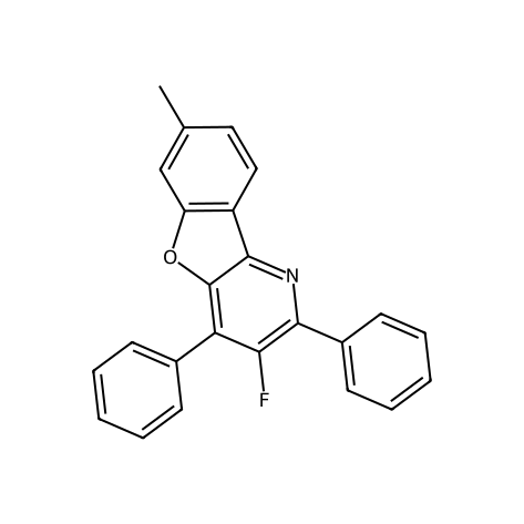 Cc1ccc2c(c1)oc1c(-c3ccccc3)c(F)c(-c3ccccc3)nc12